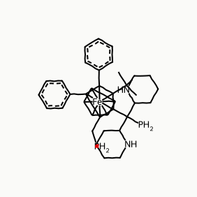 CC(C)(C)[C]12[C]3(c4ccccc4)[C]4(c5ccccc5)[C]5(CP)[C]1(C(P)(C1CCCCN1)C1CCCCN1)[Fe]54321678[CH]2[CH]1[CH]6[CH]7[CH]28